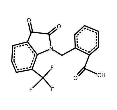 O=C(O)c1ccccc1CN1C(=O)C(=O)c2cccc(C(F)(F)F)c21